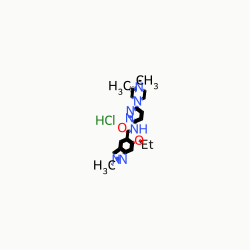 CCOc1cc2nn(C)cc2cc1C(=O)Nc1ccc(N2CCN(C)[C@@H](C)C2)nn1.Cl